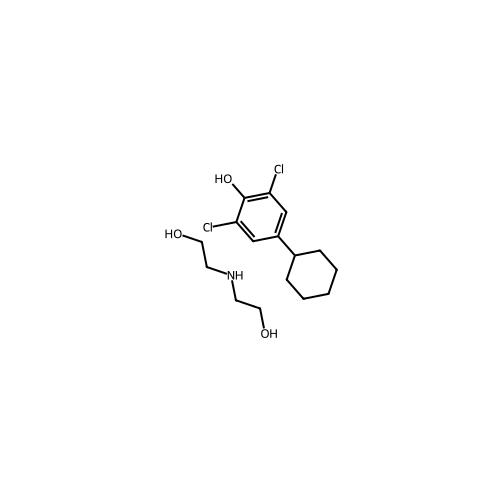 OCCNCCO.Oc1c(Cl)cc(C2CCCCC2)cc1Cl